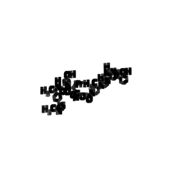 Cc1ncsc1-c1ccc(C(C)NC(=O)[C@@H]2C[C@@H](O)CN2C(=O)C(c2cc(OCC(=O)N3CC[C@@H](N4CCN5c6cc(-c7ccccc7O)nnc6NC[C@@H]5C4)[C@H](C)C3)no2)C(C)C)cc1